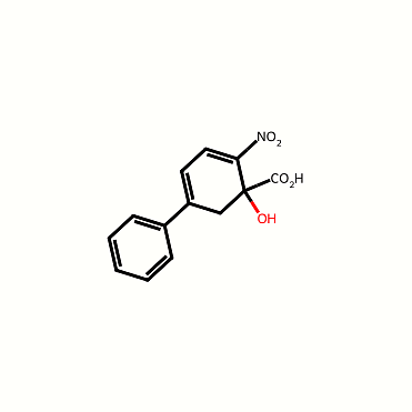 O=C(O)C1(O)CC(c2ccccc2)=CC=C1[N+](=O)[O-]